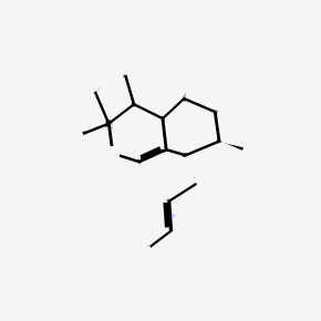 C/C=C/C[C@@H]1C2=COC(C)(C)C(C)C2CC[C@H]1C